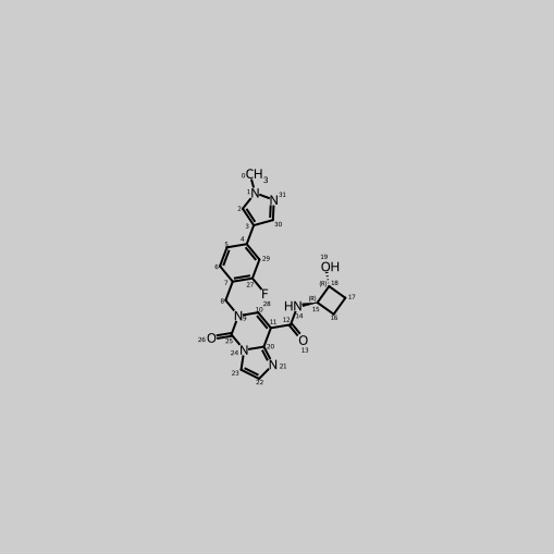 Cn1cc(-c2ccc(Cn3cc(C(=O)N[C@@H]4CC[C@H]4O)c4nccn4c3=O)c(F)c2)cn1